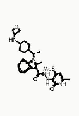 CSc1cc(C)[nH]c(=O)c1NNC(=O)c1c(C)n([C@H](C)C2CCC(NC3COC3)CC2)c2ccccc12